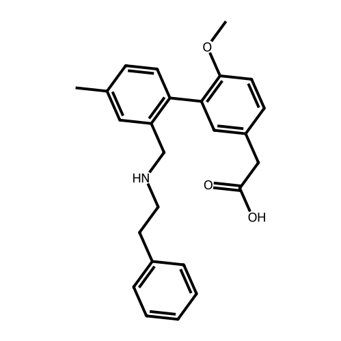 COc1ccc(CC(=O)O)cc1-c1ccc(C)cc1CNCCc1ccccc1